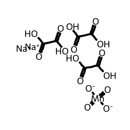 O=C(O)C(=O)O.O=C(O)C(=O)O.O=C(O)C(=O)O.[Na+].[Na+].[O]=[Mn](=[O])([O-])[O-]